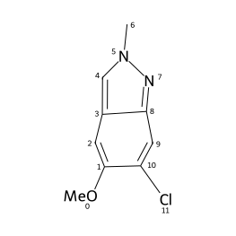 COc1cc2cn(C)nc2cc1Cl